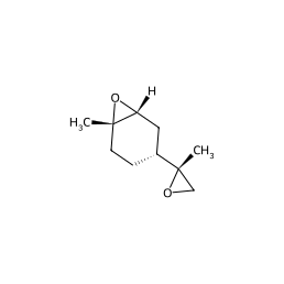 C[C@@]1([C@@H]2CC[C@]3(C)O[C@@H]3C2)CO1